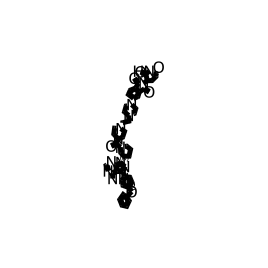 Nc1ncnc2c1c(-c1ccc(Oc3ccccc3)cc1)nn2[C@@H]1CCCN(C(=O)N2CCN(CCN3CCN(c4ccc5c(c4)C(=O)N(C4CCC(=O)NC4=O)C5=O)CC3)CC2)C1